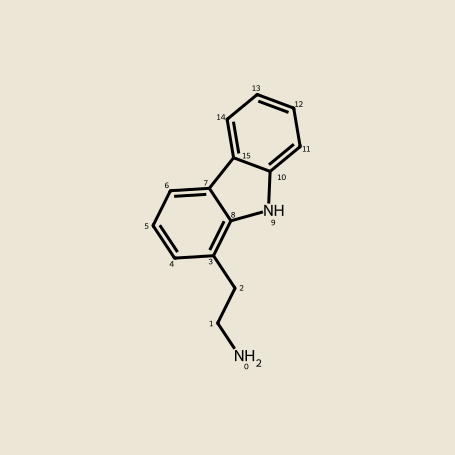 NCCc1cccc2c1[nH]c1ccccc12